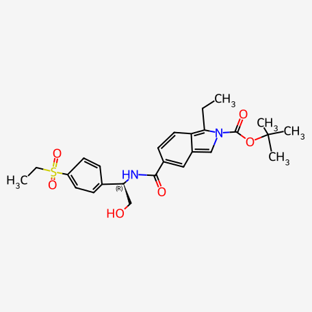 CCc1c2ccc(C(=O)N[C@@H](CO)c3ccc(S(=O)(=O)CC)cc3)cc2cn1C(=O)OC(C)(C)C